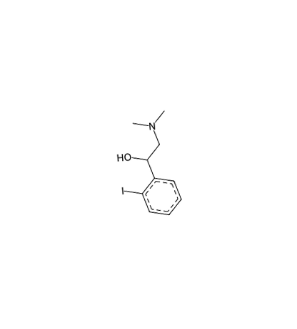 CN(C)CC(O)c1ccccc1I